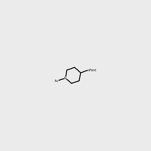 CCCCCC1CCN(C(C)=O)CC1